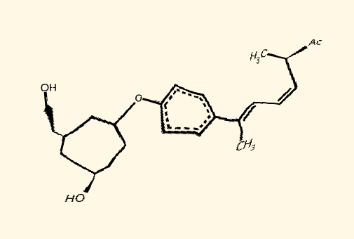 CC(=O)[C@H](C)/C=C\C=C(/C)c1ccc(OC2CC[C@@H](O)C[C@@H](CO)C2)cc1